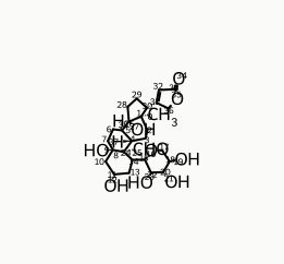 C[C@]12CC[C@H]3[C@@H](CC[C@]4(O)C[C@@H](O)CC(C5OC[C@@H](O)[C@H](O)[C@H]5O)[C@]34C=O)[C@@]1(O)CC[C@@H]2C1=CC(=O)OC1